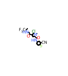 C[C@H](NCC(=O)c1cc(C(=O)Nc2ccc(F)c(C#N)c2)n(C)c1Cl)C(F)(F)F